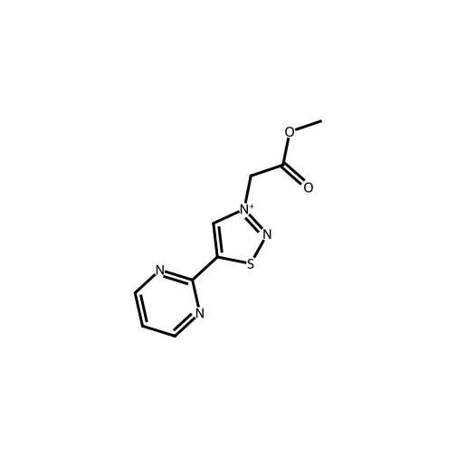 COC(=O)C[n+]1cc(-c2ncccn2)sn1